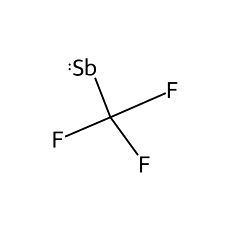 F[C](F)(F)[Sb]